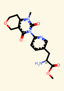 COC(=O)[C@@H](N)Cc1ccc(-n2c(=O)c3c(n(C)c2=O)CCOC3)nc1